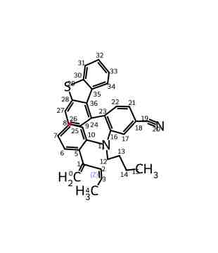 C=C(/C=C\C)c1ccccc1N(CCCC)c1cc(C#N)ccc1-c1cccc2sc3ccccc3c12